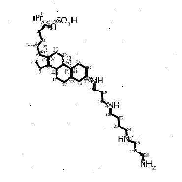 CC(C)[C@@H](CC[C@@H](C)[C@H]1CCC2C3CCC4C[C@@H](NCCCNCCCCNCCCN)CC[C@]4(C)C3CC[C@@]21C)OS(=O)(=O)O